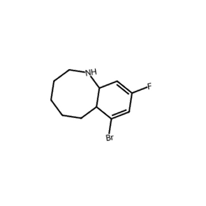 FC1=CC2NCCCCCC2C(Br)=C1